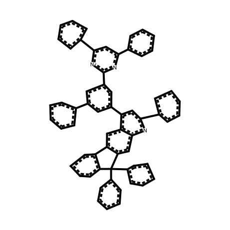 c1ccc(-c2cc(-c3nc(-c4ccccc4)cc(-c4ccccc4)n3)cc(-c3cc(-c4ccccc4)nc4cc5c(cc34)-c3ccccc3C5(c3ccccc3)c3ccccc3)c2)cc1